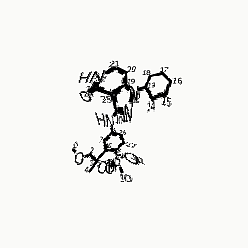 COCC(C)(O)c1cc(Nc2nn(C3CCCCC3)c3cc[nH]c(=O)c23)ccc1S(C)(=O)=O